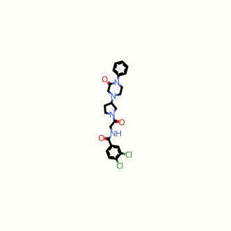 O=C(NCC(=O)N1CCC(N2CCN(c3ccccc3)C(=O)C2)C1)c1ccc(Cl)c(Cl)c1